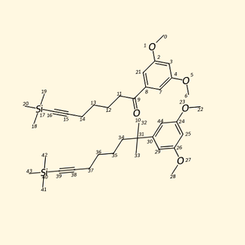 COc1cc(OC)cc(C(=O)CCCCC#C[Si](C)(C)C)c1.COc1cc(OC)cc(C(C)(C)CCCCC#C[Si](C)(C)C)c1